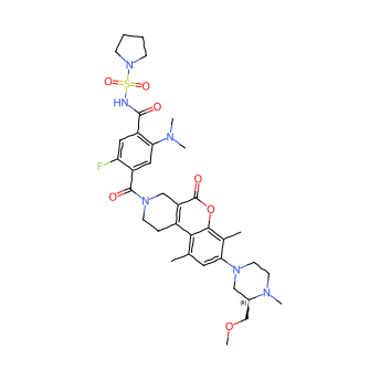 COC[C@H]1CN(c2cc(C)c3c4c(c(=O)oc3c2C)CN(C(=O)c2cc(N(C)C)c(C(=O)NS(=O)(=O)N3CCCC3)cc2F)CC4)CCN1C